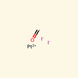 [C]=O.[I-].[I-].[Pt+2]